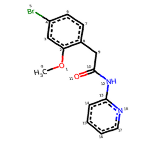 COc1cc(Br)ccc1CC(=O)Nc1ccccn1